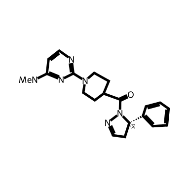 CNc1ccnc(N2CCC(C(=O)N3N=CC[C@H]3c3ccccc3)CC2)n1